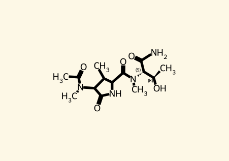 CC(=O)N(C)C1C(=O)NC(C(=O)N(C)[C@H](C(N)=O)[C@@H](C)O)C1C